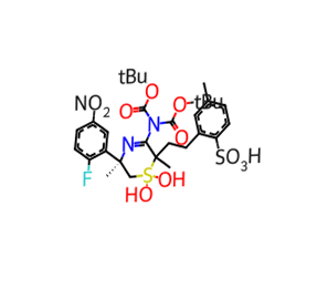 Cc1ccc(S(=O)(=O)O)c(CCC2(C)C(N(C(=O)OC(C)(C)C)C(=O)OC(C)(C)C)=N[C@](C)(c3cc([N+](=O)[O-])ccc3F)CS2(O)O)c1